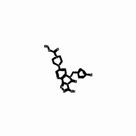 CC(C)(C)OC(=O)N1CCN(c2cnc3c(c2)n(Cc2ccc(Cl)cc2)c(=O)n2c(C(C)(C)C)nnc32)CC1